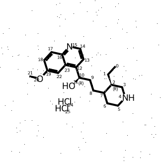 CC[C@H]1CNCCC1CC[C@@H](O)c1ccnc2ccc(OC)cc12.Cl.Cl